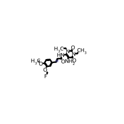 CCn1c(NC(=O)/C=C/c2ccc(OC)c(OCF)c2)c(N)c(=O)n(CC)c1=O